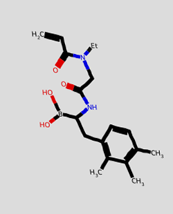 C=CC(=O)N(CC)CC(=O)NC(Cc1ccc(C)c(C)c1C)B(O)O